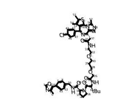 Cc1ncoc1-c1ccc(CNC(=O)[C@@H]2C[C@@H](O)CN2C(=O)[C@@H](NC(=O)COCCCOCCNC(=O)C[C@@H]2N=C(c3ccc(Cl)cc3)c3c(sc(C)c3C)-n3c(C)nnc32)C(C)(C)C)cc1